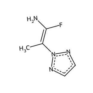 C/C(=C(\N)F)n1nccn1